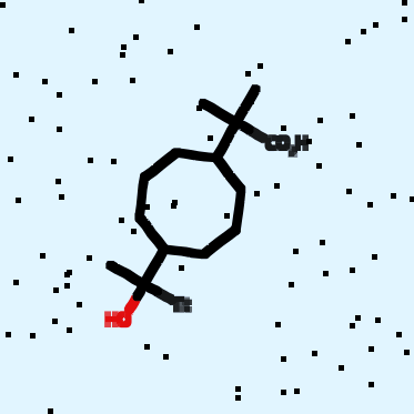 CCC(C)(O)C1CCCC(C(C)(C)C(=O)O)CCC1